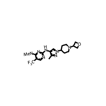 CNc1nc(Nc2cn(C3CCN(C4COC4)CC3)nc2C)ncc1C(F)(F)F